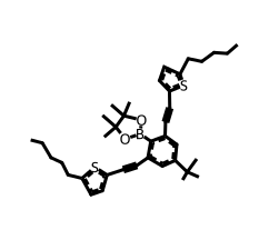 CCCCCc1ccc(C#Cc2cc(C(C)(C)C)cc(C#Cc3ccc(CCCCC)s3)c2B2OC(C)(C)C(C)(C)O2)s1